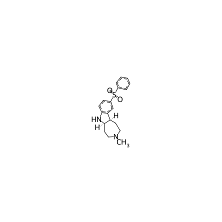 CN1CC[C@@H]2c3cc(S(=O)(=O)c4ccccc4)ccc3N[C@@H]2CC1